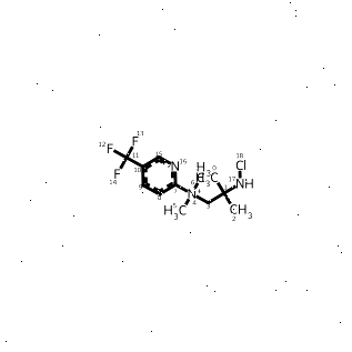 CC(C)(C[N+](C)(C)c1ccc(C(F)(F)F)cn1)NCl